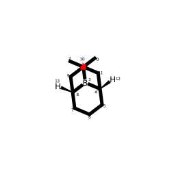 CC(C)B1[C@H]2CCC[C@@H]1CCC2